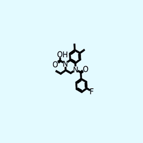 CCC1CN(C(=O)c2cccc(F)c2)c2cc(C)c(C)cc2N1C(=O)O